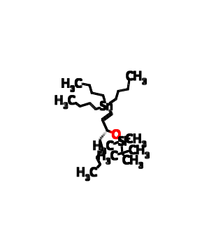 CCCCC[C@H](/C=[CH]/[Sn]([CH2]CCC)([CH2]CCC)[CH2]CCC)O[Si](C)(C)C(C)(C)C